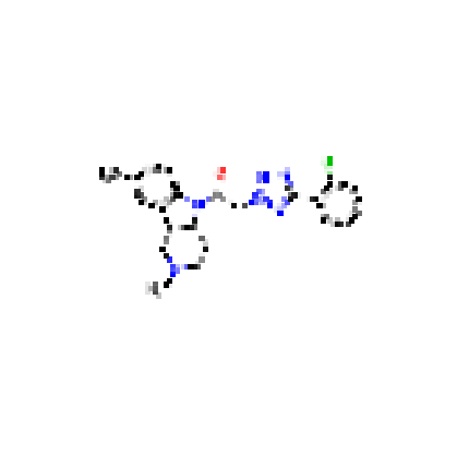 Cc1ccc2c(c1)C1CN(C)CCC1N2C(=O)Cn1nnc(-c2ccccc2Cl)n1